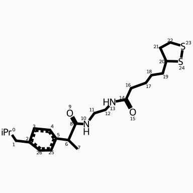 CC(C)Cc1ccc(C(C)C(=O)NCCNC(=O)CCCCC2CCSS2)cc1